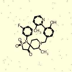 Cc1cccnc1-c1cc(CN2CC[C@@]3(C[C@@H]2C)C(=O)CS(=O)(=O)N3c2cccc(F)c2)ccc1O